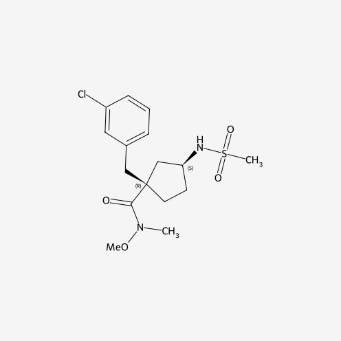 CON(C)C(=O)[C@@]1(Cc2cccc(Cl)c2)CC[C@H](NS(C)(=O)=O)C1